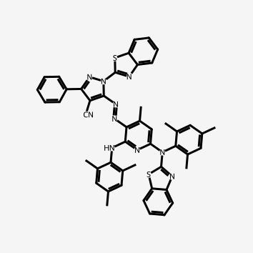 Cc1cc(C)c(Nc2nc(N(c3nc4ccccc4s3)c3c(C)cc(C)cc3C)cc(C)c2N=Nc2c(C#N)c(-c3ccccc3)nn2-c2nc3ccccc3s2)c(C)c1